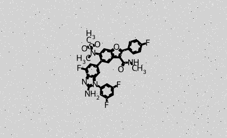 CNC(=O)c1c(-c2ccc(F)cc2)oc2cc(N(C)S(C)(=O)=O)c(-c3cc(F)c4nc(N)n(-c5cc(F)cc(F)c5)c4c3)cc12